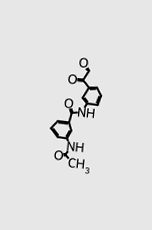 CC(=O)Nc1cccc(C(=O)Nc2cccc(C(=O)C=O)c2)c1